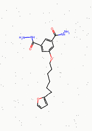 NNC(=O)c1cc(OCCCCCCc2ccco2)cc(C(=O)NN)c1